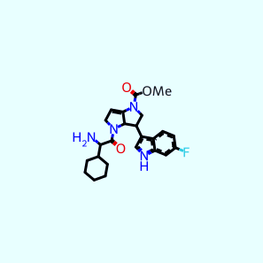 COC(=O)N1CC(c2c[nH]c3cc(F)ccc23)C2C1=CCN2C(=O)C(N)C1CCCCC1